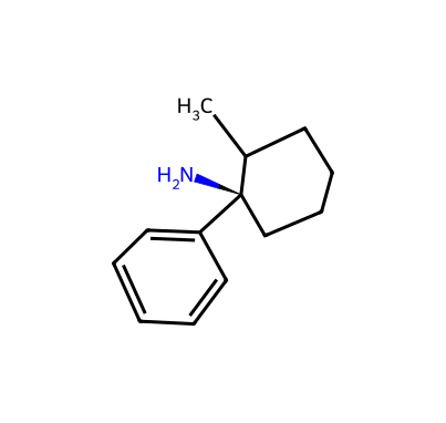 CC1CCCC[C@]1(N)c1ccccc1